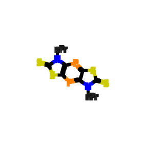 CCCn1c(=S)sc2pc3c(pc21)sc(=S)n3CCC